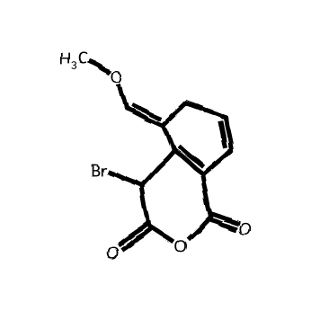 CO/C=C1\CC=CC2=C1C(Br)C(=O)OC2=O